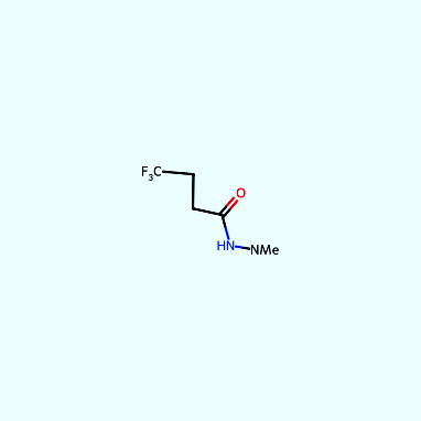 CNNC(=O)CCC(F)(F)F